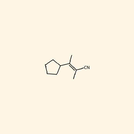 C/C(C#N)=C(/C)C1CCCC1